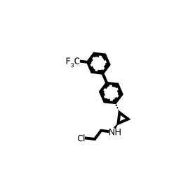 FC(F)(F)c1cccc(-c2ccc([C@@H]3C[C@H]3NCCCl)cc2)c1